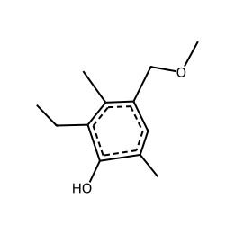 CCc1c(C)c(COC)cc(C)c1O